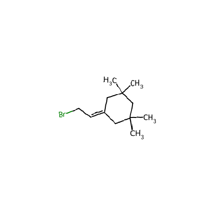 CC1(C)CC(=CCBr)CC(C)(C)C1